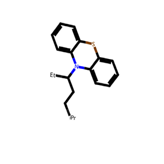 CCC(CCC(C)C)N1c2ccccc2Sc2ccccc21